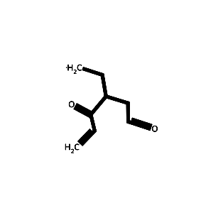 [CH2]CC(CC=O)C(=O)C=C